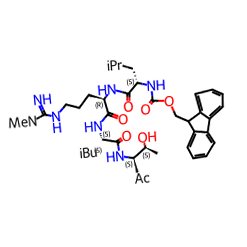 CC[C@H](C)[C@H](NC(=O)[C@@H](CCCNC(=N)NC)NC(=O)[C@H](CC(C)C)NC(=O)OCC1c2ccccc2-c2ccccc21)C(=O)N[C@H](C(C)=O)[C@H](C)O